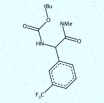 CNC(=O)C(NC(=O)OC(C)(C)C)c1cccc(C(F)(F)F)c1